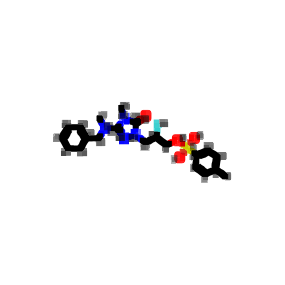 Cc1ccc(S(=O)(=O)OCC(F)Cn2nc(N(C)CC3=CC=CCC3)n(C)c2=O)cc1